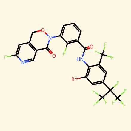 O=C(Nc1c(Br)cc(C(F)(C(F)(F)F)C(F)(F)F)cc1C(F)(F)F)c1cccc(N2OCc3cc(F)ncc3C2=O)c1F